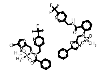 CS(=O)(=O)N(Cc1ncc(-c2ccccc2)o1)c1ccccc1C(=O)NCc1ccc(C(F)(F)F)nc1.Cn1c(Cl)cnc1CN(N(Cc1ccc(C(F)(F)F)nc1)C(=O)c1ccccc1)S(C)(=O)=O